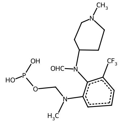 CN1CCC(N(C=O)c2c(N(C)COP(O)O)cccc2C(F)(F)F)CC1